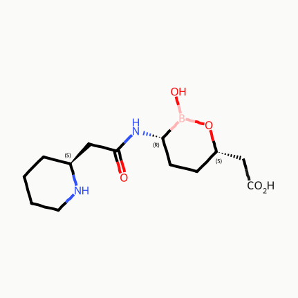 O=C(O)C[C@@H]1CC[C@H](NC(=O)C[C@@H]2CCCCN2)B(O)O1